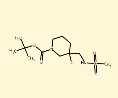 CC(C)(C)OC(=O)N1CCCC(F)(CNS(C)(=O)=O)C1